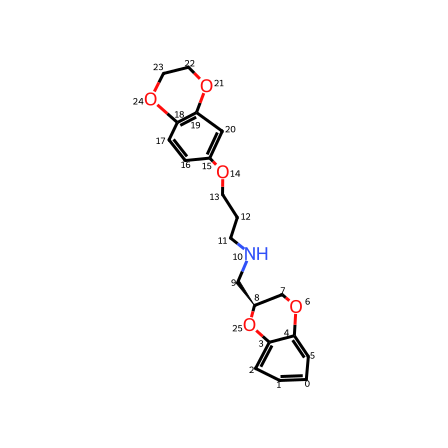 c1ccc2c(c1)OC[C@H](CNCCCOc1ccc3c(c1)OCCO3)O2